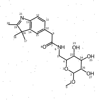 COC1OC(CNC(=O)Cc2ccc3c(c2)C(C)(C)C(C)=N3)C(O)C(O)C1O